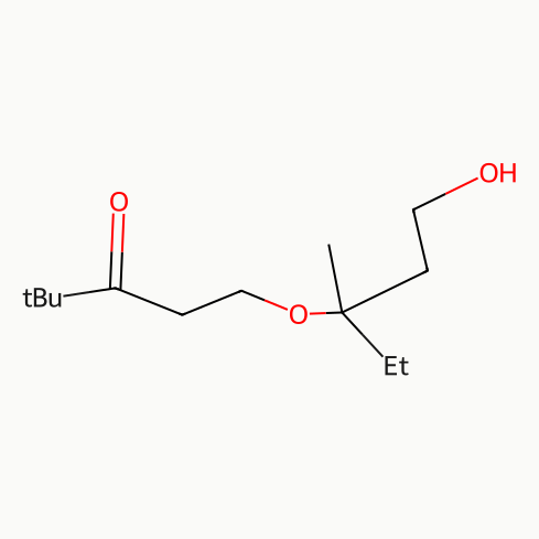 CCC(C)(CCO)OCCC(=O)C(C)(C)C